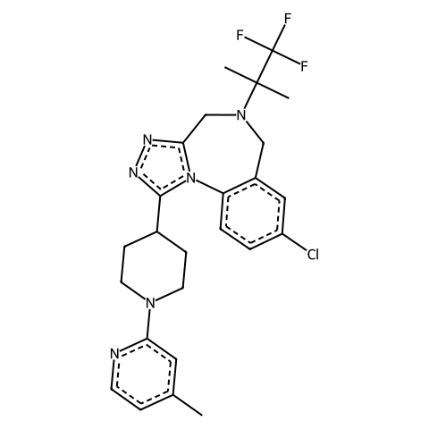 Cc1ccnc(N2CCC(c3nnc4n3-c3ccc(Cl)cc3CN(C(C)(C)C(F)(F)F)C4)CC2)c1